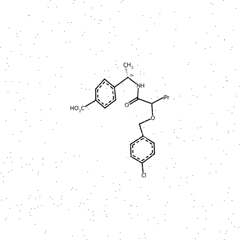 CC(C)C(OCc1ccc(Cl)cc1)C(=O)N[C@@H](C)c1ccc(C(=O)O)cc1